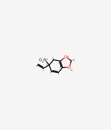 C=CC1([N+](=O)[O-])C=CC2=C(C1)OCO2